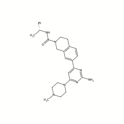 CC(C)[C@@H](C)NC(=O)N1CCc2ccc(-c3cc(N4CCN(C)CC4)nc(N)n3)cc2C1